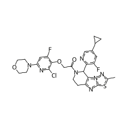 Cc1nn2c3c(nc2s1)CCN(C(=O)COc1c(F)cc(N2CCOCC2)nc1Cl)C3c1ncc(C2CC2)cc1F